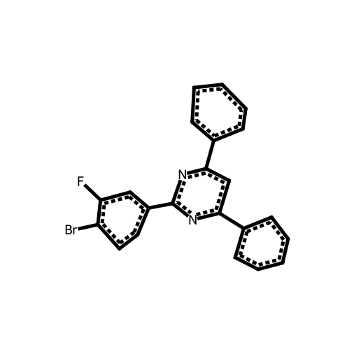 Fc1cc(-c2nc(-c3ccccc3)cc(-c3ccccc3)n2)ccc1Br